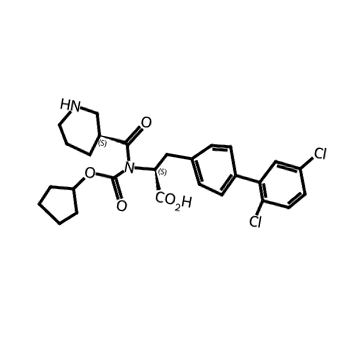 O=C(O)[C@H](Cc1ccc(-c2cc(Cl)ccc2Cl)cc1)N(C(=O)OC1CCCC1)C(=O)[C@H]1CCCNC1